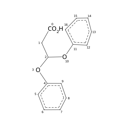 O=C(O)CC(Oc1ccccc1)Oc1ccccc1